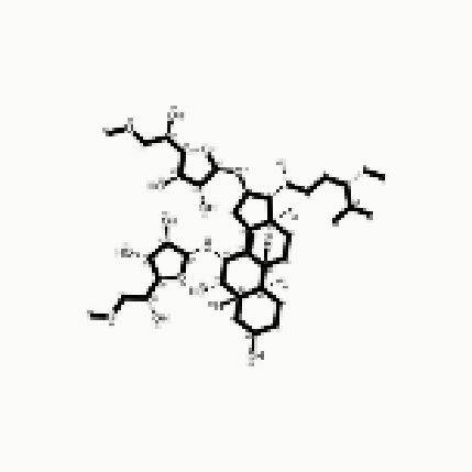 CC[C@@H](CC[C@@H](C)[C@H]1[C@H](O[C@@H]2O[C@@H]([C@H](O)COC)[C@H](O)[C@H]2O)CC2=C3[C@@H](O[C@@H]4O[C@@H]([C@H](O)COC)[C@H](O)[C@H]4O)[C@@H](O)[C@H]4C[C@H](O)CC[C@]4(C)[C@H]3CC[C@@]21C)C(C)C